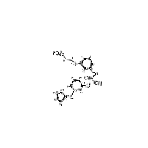 CCCCCCCCCCCCOc1cccc(OP(=O)(O)Oc2cccc(C[n+]3ccsc3)c2)c1